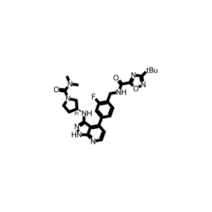 CN(C)C(=O)N1CC[C@@H](Nc2n[nH]c3nccc(-c4ccc(CNC(=O)c5nc(C(C)(C)C)no5)c(F)c4)c23)C1